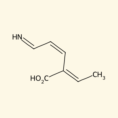 C/C=C(\C=C/C=N)C(=O)O